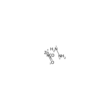 NN.O.[O]=[Zn]